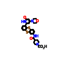 O=C(Nc1ccc2c(c1)Sc1cccc(-c3cc(N4CCOCC4)cc(=O)[nH]3)c1S2)C1CCN(C(=O)O)CC1